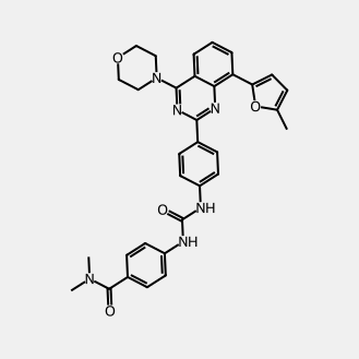 Cc1ccc(-c2cccc3c(N4CCOCC4)nc(-c4ccc(NC(=O)Nc5ccc(C(=O)N(C)C)cc5)cc4)nc23)o1